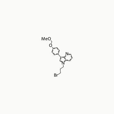 COCOc1ccc(-c2cn(CCCBr)c3cccnc23)cc1